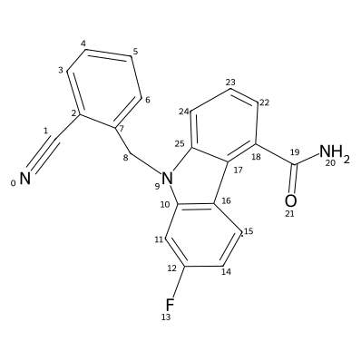 N#Cc1ccccc1Cn1c2cc(F)c[c]c2c2c(C(N)=O)cccc21